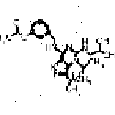 CC(=O)Oc1cccc(CNc2nc(NCC(C)O)n(C(C)C)c3c(C(C)C)nnc2-3)c1